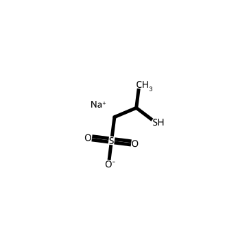 CC(S)CS(=O)(=O)[O-].[Na+]